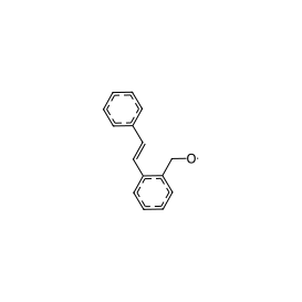 [O]Cc1ccccc1/C=C/c1ccccc1